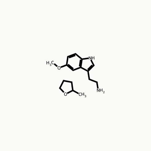 CC1CCCO1.COc1ccc2[nH]cc(CCN)c2c1